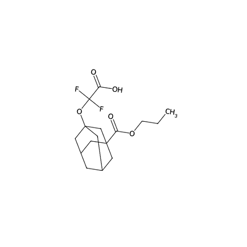 CCCOC(=O)C12CC3CC(CC(OC(F)(F)C(=O)O)(C3)C1)C2